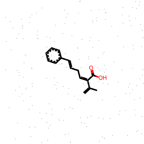 C=C(C)C(=CCC=Cc1ccccc1)C(=O)O